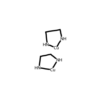 C1C[NH][Cu][NH]1.C1C[NH][Cu][NH]1